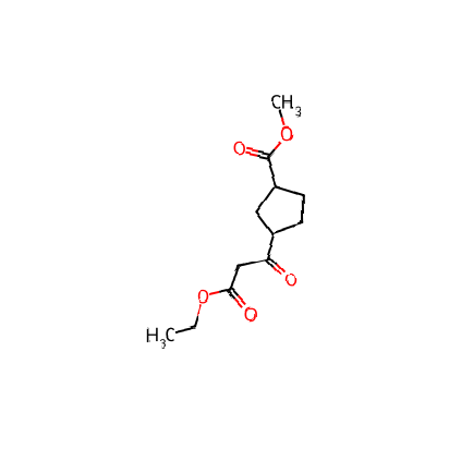 CCOC(=O)CC(=O)C1CCC(C(=O)OC)C1